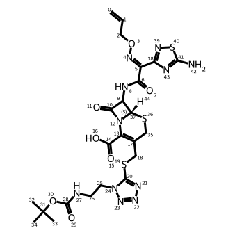 C=CCON=C(C(=O)NC1C(=O)N2C(C(=O)O)=C(CSc3nnnn3CCNC(=O)OC(C)(C)C)CS[C@@H]12)c1nsc(N)n1